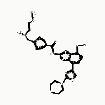 COCCN(C)Cc1ccc(C(=O)Nc2nc3c(OC)ccc(-c4csc(N5CCOCC5)n4)c3s2)cc1